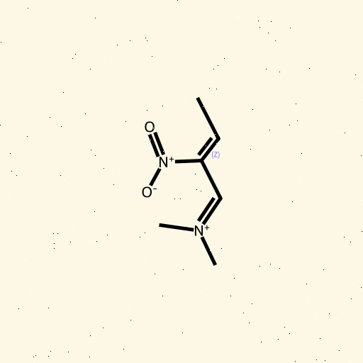 C/C=C(/C=[N+](C)C)[N+](=O)[O-]